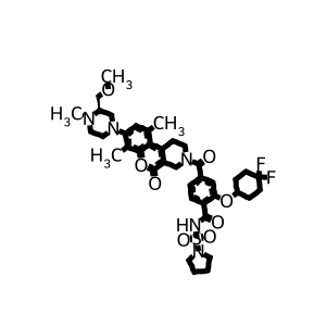 COC[C@H]1CN(c2cc(C)c3c4c(c(=O)oc3c2C)CN(C(=O)c2ccc(C(=O)NS(=O)(=O)N3CCCC3)c(OC3CCC(F)(F)CC3)c2)CC4)CCN1C